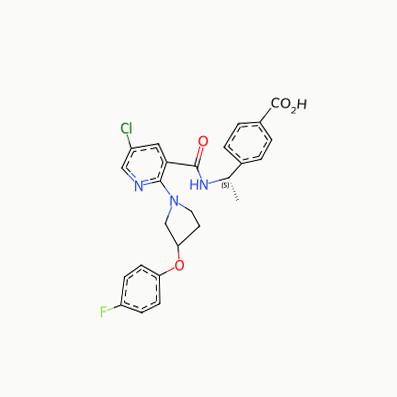 C[C@H](NC(=O)c1cc(Cl)cnc1N1CCC(Oc2ccc(F)cc2)C1)c1ccc(C(=O)O)cc1